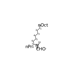 CCCCCCCCCCCCCCC(CCC)N(C)[C]=O